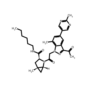 CCCCCCNC(=O)[C@@H]1C[C@@]2(C)C[C@H]2N1C(=O)Cn1nc(C(C)=O)c2cc(-c3cnc(C)nc3)cc(C)c21